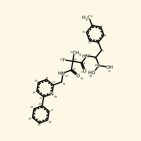 Cc1ccc(CC(NC(=O)C(C)(F)C(=O)NCc2cccc(-c3ccccc3)n2)B(O)O)cc1